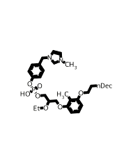 CCCCCCCCCCCCOc1cccc(OCC(COP(=O)(O)Oc2ccc(CN3C=CN(C)C3)cc2)OCC)c1C